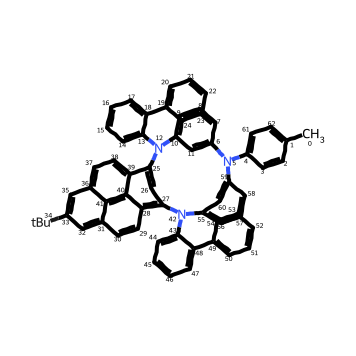 Cc1ccc(N2c3cccc(c3)N(c3ccccc3-c3ccccc3)c3cc(c4ccc5cc(C(C)(C)C)cc6ccc3c4c65)N(c3ccccc3-c3ccccc3)c3cccc2c3)cc1